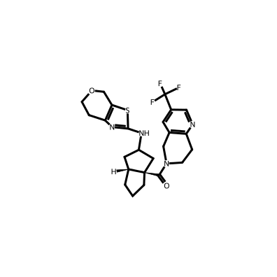 O=C(N1CCc2ncc(C(F)(F)F)cc2C1)[C@@]12CCC[C@@H]1CC(Nc1nc3c(s1)COCC3)C2